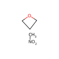 C1COC1.C[N+](=O)[O-]